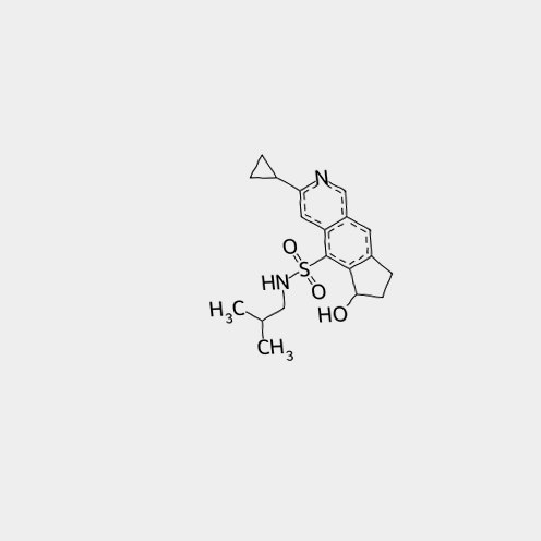 CC(C)CNS(=O)(=O)c1c2c(cc3cnc(C4CC4)cc13)CCC2O